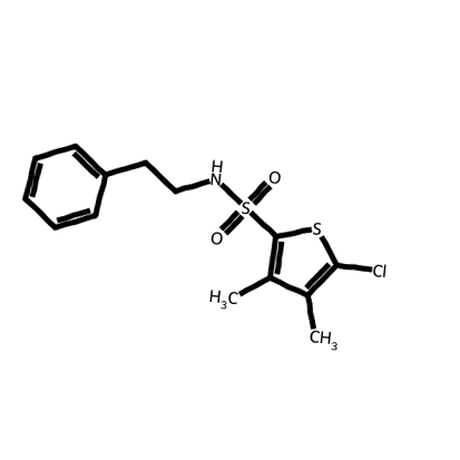 Cc1c(Cl)sc(S(=O)(=O)NCCc2ccccc2)c1C